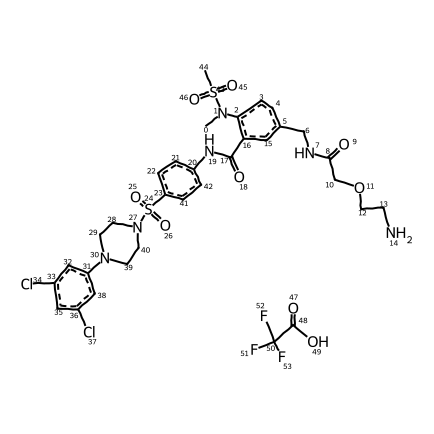 CN(c1ccc(CNC(=O)COCCN)cc1C(=O)Nc1ccc(S(=O)(=O)N2CCN(c3cc(Cl)cc(Cl)c3)CC2)cc1)S(C)(=O)=O.O=C(O)C(F)(F)F